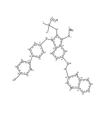 CC(C)(C)Sc1c(CC(C)(C)C(=O)O)n(Cc2ccc(-c3ccc(F)cn3)cc2)c2ccc(OCc3cnc4ccccc4n3)cc12